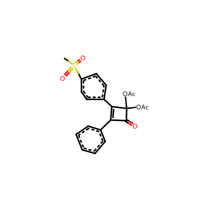 CC(=O)OC1(OC(C)=O)C(=O)C(c2ccccc2)=C1c1ccc(S(C)(=O)=O)cc1